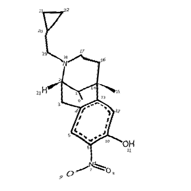 CC1[C@@H]2Cc3cc([N+](=O)[O-])c(O)cc3[C@@]1(C)CCN2CC1CC1